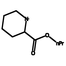 CCCOC(=O)C1CCCC[N]1